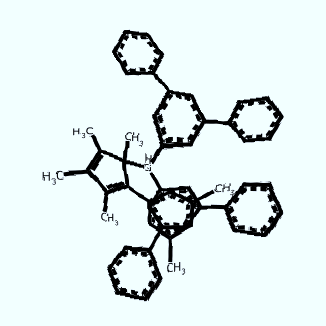 CC1=C(C)C(C)([SiH](c2cc(-c3ccccc3)cc(-c3ccccc3)c2)c2cc(-c3ccccc3)cc(-c3ccccc3)c2)C(c2cc(C)cc(C)c2)=C1C